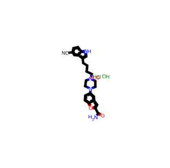 Cl.Cl.N#Cc1ccc2[nH]cc(CCCCN3CCN(c4ccc5oc(C(N)=O)cc5c4)CC3)c2c1.O